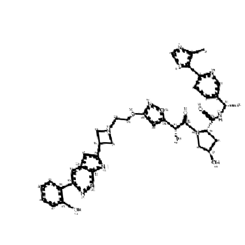 Cc1ncsc1-c1ccc([C@H](C)NC(=O)[C@@H]2C[C@@H](O)CN2C(=O)[C@@H](c2cc(OCCN3CC(c4cc5cc(-c6ccccc6O)nnc5[nH]4)C3)no2)C(C)C)cn1